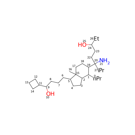 CCCC1C2CCC(CCCC(O)C3CCC3)C2(C)CCC1C(N)(CCC(O)CC)C(C)C